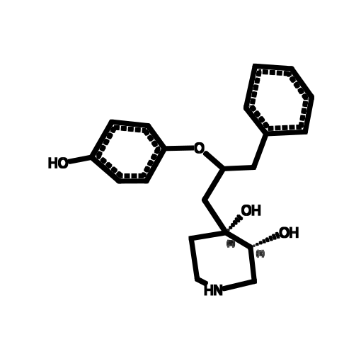 Oc1ccc(OC(Cc2ccccc2)C[C@]2(O)CCNC[C@H]2O)cc1